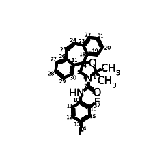 CC1(C)OC2(CN1C(=O)Nc1ccc(F)cc1F)c1ccccc1C=Cc1ccccc12